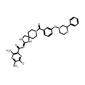 Nc1nc(N)c(C(=O)/N=C2\NCC3(CCN(C(=O)c4cccc(SN5CCOC(c6ccccc6)C5)c4)CC3)N2)nc1Cl